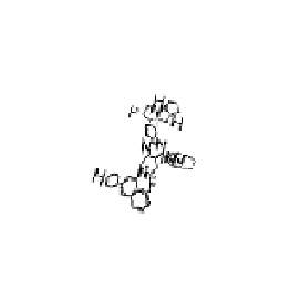 Oc1cc(N2CCc3c(nc(OC[C@]45C[C@H](F)CN4[C@H]4CCC[C@H]4C5)nc3N3CC4CCC(C3)N4)C2)c2c(F)cccc2c1